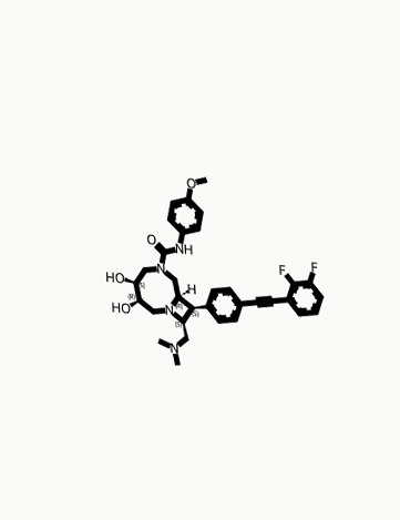 COc1ccc(NC(=O)N2C[C@H](O)[C@H](O)CN3[C@H](CN(C)C)[C@H](c4ccc(C#Cc5cccc(F)c5F)cc4)[C@@H]3C2)cc1